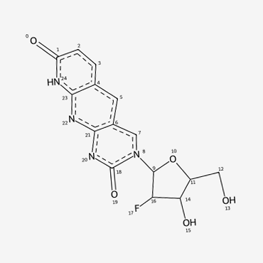 O=c1ccc2cc3cn(C4OC(CO)C(O)C4F)c(=O)nc3nc2[nH]1